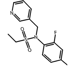 CCS(=O)(=O)N(Cc1cccnc1)c1ccc(F)cc1F